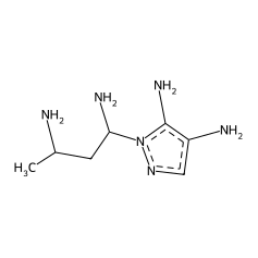 CC(N)CC(N)n1ncc(N)c1N